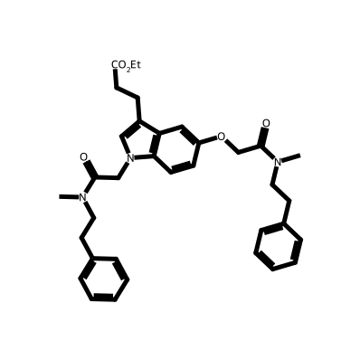 CCOC(=O)CCc1cn(CC(=O)N(C)CCc2ccccc2)c2ccc(OCC(=O)N(C)CCc3ccccc3)cc12